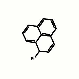 CCC1C=Cc2cccc3cccc1c23